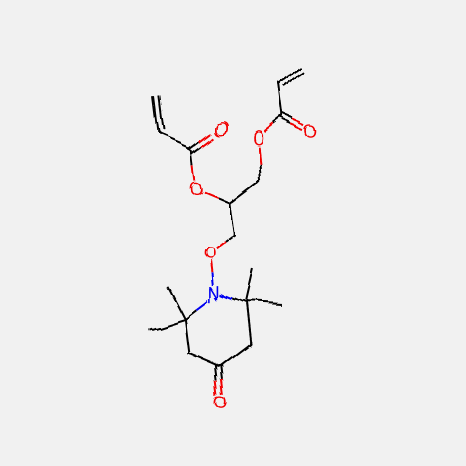 C=CC(=O)OCC(CON1C(C)(C)CC(=O)CC1(C)C)OC(=O)C=C